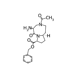 CC(=O)N1CC[C@H]2CC[C@@H](C(=O)OCc3ccccc3)N2C(=O)[C@@H](N)C1